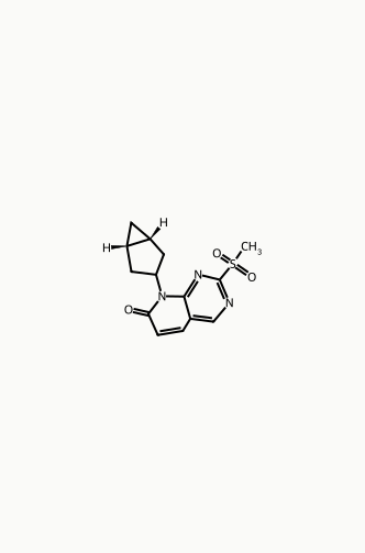 CS(=O)(=O)c1ncc2ccc(=O)n(C3C[C@@H]4C[C@@H]4C3)c2n1